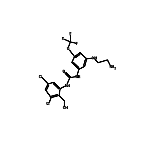 NCCNc1cc(NC(=O)Nc2cc(Cl)cc(Cl)c2CO)cc(OC(F)(F)F)c1